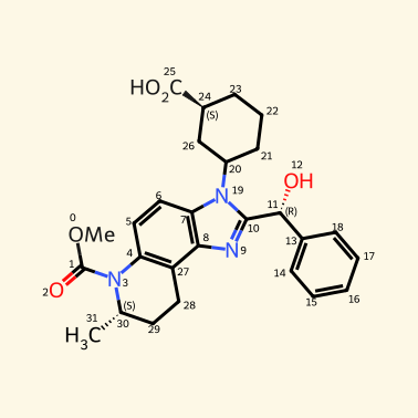 COC(=O)N1c2ccc3c(nc([C@H](O)c4ccccc4)n3C3CCC[C@H](C(=O)O)C3)c2CC[C@@H]1C